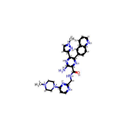 CN1CCN(c2ccnc(CNC(=O)c3nc(-c4ccc5ncccc5c4)c(-c4ccn(C)n4)nc3N)n2)CC1